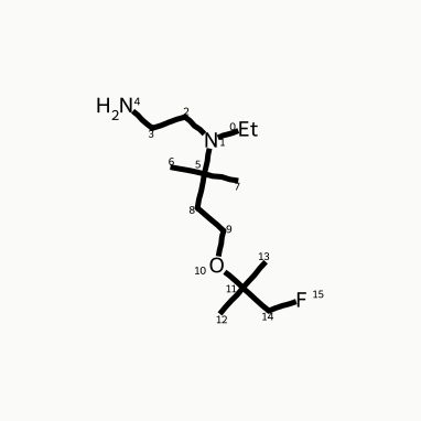 CCN(CCN)C(C)(C)CCOC(C)(C)CF